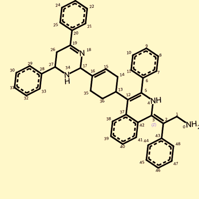 NC/C(=C1\NC(c2ccccc2)=C(C2CC=C(C3N=C(c4ccccc4)CC(c4ccccc4)N3)CC2)c2ccccc21)c1ccccc1